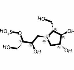 O=S(=O)(O)O[C@@H](CO)[C@H](O)C[S@+]1C[C@@H](O)[C@H](O)[C@H]1CO